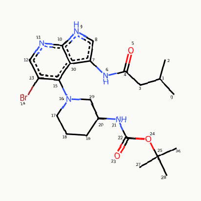 CC(C)CC(=O)Nc1c[nH]c2ncc(Br)c(N3CCCC(NC(=O)OC(C)(C)C)C3)c12